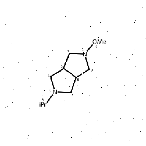 CON1CC2CN(C(C)C)CC2C1